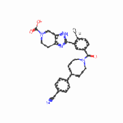 Cc1ccc(C(=O)N2CCC(c3ccc(C#N)cc3)CC2)cc1-c1nc2c([nH]1)CN(C(=O)O)CC2